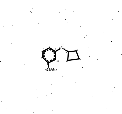 COc1cccc(NC2CCC2)c1